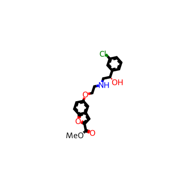 COC(=O)c1cc2cc(OCCNC[C@@H](O)c3cccc(Cl)c3)ccc2o1